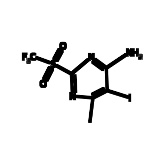 Cc1nc(S(=O)(=O)C(F)(F)F)nc(N)c1I